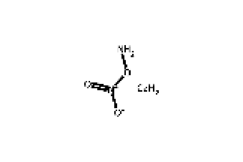 NO[N+](=O)[O-].[CaH2]